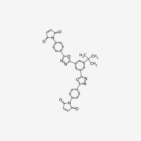 CC(C)(C)c1cc(-c2nnc(-c3ccc(N4C(=O)C=CC4=O)cc3)o2)cc(-c2nnc(-c3ccc(N4C(=O)C=CC4=O)cc3)o2)c1